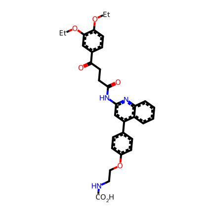 CCOc1ccc(C(=O)CCC(=O)Nc2cc(-c3ccc(OCCNC(=O)O)cc3)c3ccccc3n2)cc1OCC